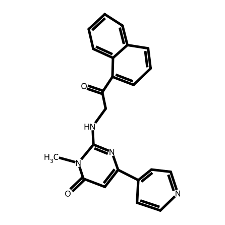 Cn1c(NCC(=O)c2cccc3ccccc23)nc(-c2ccncc2)cc1=O